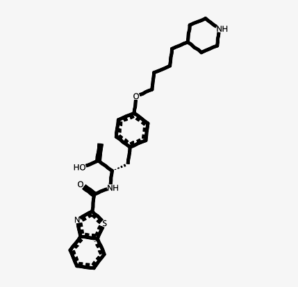 C=C(O)[C@H](Cc1ccc(OCCCCC2CCNCC2)cc1)NC(=O)c1nc2ccccc2s1